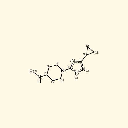 CCNC1CCN(c2nc(C3CC3)no2)CC1